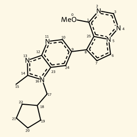 COc1ncnn2ccc(-c3cnc4nc(C)n(CC5CCCC5)c4c3)c12